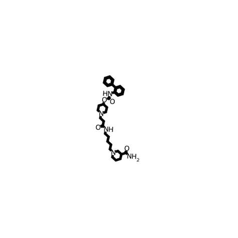 NC(=O)C1CCCN(CCCCCNC(=O)CCN2CCC(OC(=O)Nc3ccccc3-c3ccccc3)CC2)C1